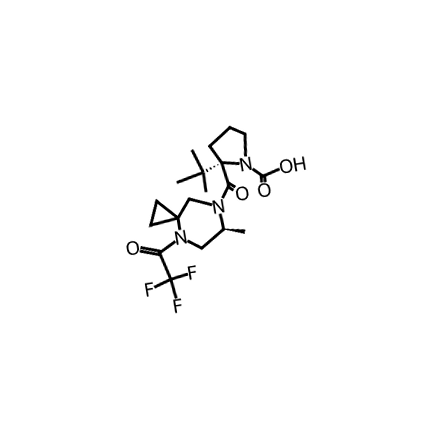 C[C@H]1CN(C(=O)C(F)(F)F)C2(CC2)CN1C(=O)[C@@]1(C(C)(C)C)CCCN1C(=O)O